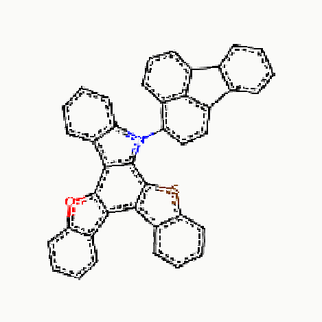 c1ccc2c(c1)-c1cccc3c(-n4c5ccccc5c5c6oc7ccccc7c6c6c7ccccc7sc6c54)ccc-2c13